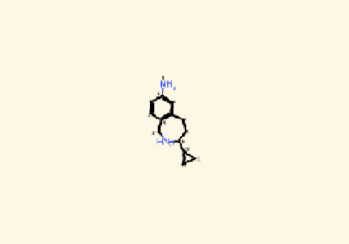 Nc1ccc2c(c1)CCC(C1CC1)NC2